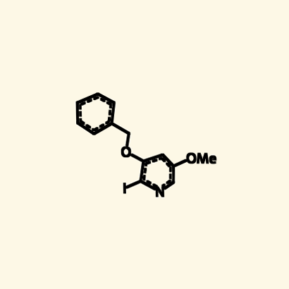 COc1cnc(I)c(OCc2ccccc2)c1